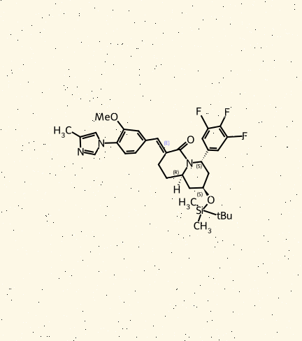 COc1cc(/C=C2\CC[C@@H]3C[C@H](O[Si](C)(C)C(C)(C)C)C[C@@H](c4cc(F)c(F)c(F)c4)N3C2=O)ccc1-n1cnc(C)c1